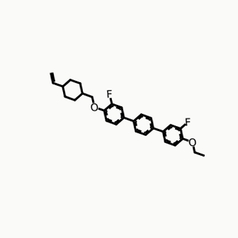 C=CC1CCC(COc2ccc(-c3ccc(-c4ccc(OCC)c(F)c4)cc3)cc2F)CC1